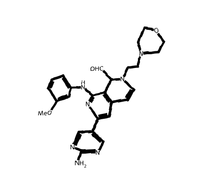 COc1cccc(Nc2nc(-c3cnc(N)nc3)cc3c2C(C=O)N(CCN2CCOCC2)C=C3)c1